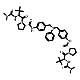 CN(C)C(=O)N[C@H](C(=O)N1CCC[C@H]1C(=O)Nc1ccc(CN(Cc2ccc(NC(=O)[C@@H]3CCCN3C(=O)[C@@H](NC(=O)N(C)C)C(C)(C)C)cc2)c2ccccc2)cc1)C(C)(C)C